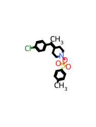 CC(=C1CCN(OS(=O)(=O)c2ccc(C)cc2)CC1)c1ccc(Cl)cc1